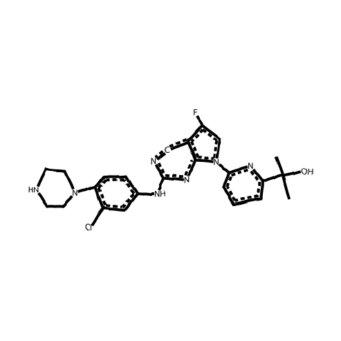 CC(C)(O)c1cccc(-n2cc(F)c3cnc(Nc4ccc(N5CCNCC5)c(Cl)c4)nc32)n1